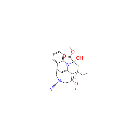 CCC12CCCN(C#N)CC3C=C(C1COC)N(c1ccccc13)C(O)(C(=O)OC)C2